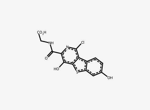 O=C(O)CNC(=O)c1nc(Cl)c2c(sc3cc(O)ccc32)c1O